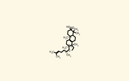 CC(C)=CCC[C@@H](C)[C@H]1CC[C@@]2(C)C3=C(CC[C@]12C)[C@@]1(C)CCC(O)(O)C(C)(C)C1CC3